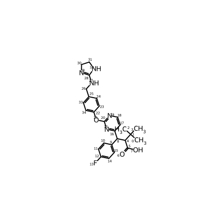 CC(C)(C)C(C(=O)O)C(c1ccc(F)cc1)c1ccnc(Oc2ccc(CNC3=NCCN3)cc2)n1